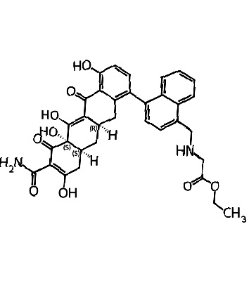 CCOC(=O)CNCc1ccc(-c2ccc(O)c3c2C[C@H]2C[C@H]4CC(O)=C(C(N)=O)C(=O)[C@@]4(O)C(O)=C2C3=O)c2ccccc12